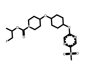 CC(CF)OC(=O)N1CCC(OC2CCC(Oc3cnc(S(C)(=O)=O)cn3)CC2)CC1